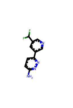 Nc1ccc(-c2cncc(C(F)F)c2)nn1